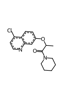 CC(Oc1ccc2c(Cl)ccnc2c1)C(=O)N1CCCCC1